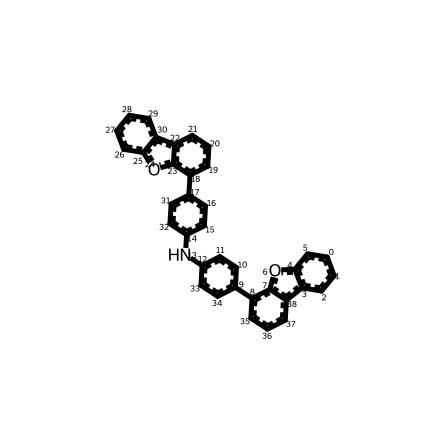 c1ccc2c(c1)oc1c(-c3ccc(Nc4ccc(-c5cccc6c5oc5ccccc56)cc4)cc3)cccc12